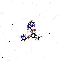 Cc1cc(COc2cc3c(cc2NC(=O)c2cnn4cccnc24)CC(C)(C)O3)n[nH]1